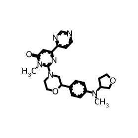 CN(c1ccc(C2CN(c3nc(-c4ccncn4)cc(=O)n3C)CCO2)cc1)C1CCOC1